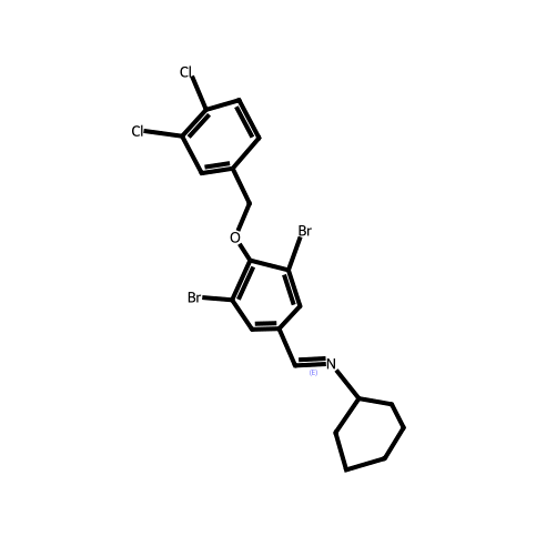 Clc1ccc(COc2c(Br)cc(/C=N/C3CCCCC3)cc2Br)cc1Cl